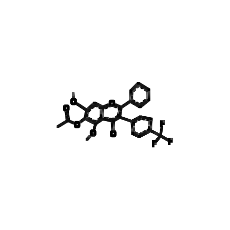 COc1cc2oc(-c3ccccc3)c(-c3ccc(C(F)(F)F)cc3)c(=O)c2c(OC)c1OC(C)=O